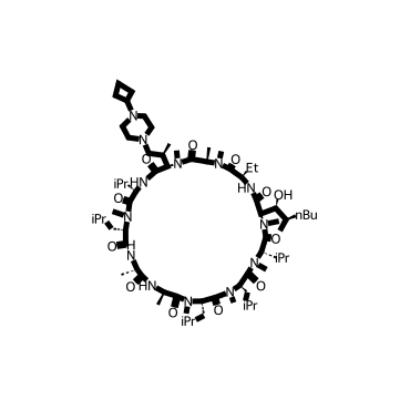 CCCC[C@@H](C)[C@@H](O)[C@H]1C(=O)N[C@@H](CC)C(=O)N(C)[C@H](C)C(=O)N(C)[C@@H]([C@H](C)CN2CCN(C3CCC3)CC2)C(=O)N[C@@H](C(C)C)C(=O)N(C)[C@@H](CC(C)C)C(=O)N[C@@H](C)C(=O)N[C@H](C)C(=O)N(C)[C@@H](CC(C)C)C(=O)N(C)[C@@H](CC(C)C)C(=O)N(C)[C@@H](C(C)C)C(=O)N1C